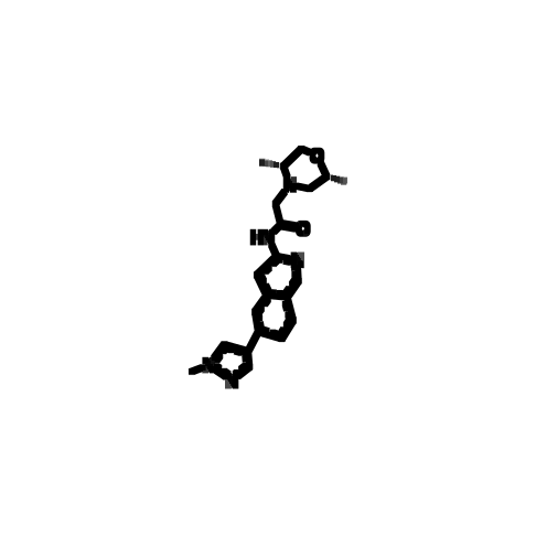 C[C@@H]1CN(CC(=O)Nc2cc3cc(-c4cnn(C)c4)ccc3cn2)[C@H](C)CO1